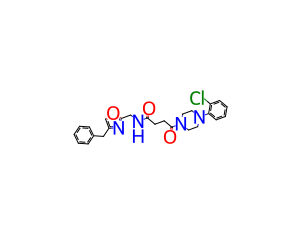 O=C(CCC(=O)N1CCN(c2ccccc2Cl)CC1)NCc1nc(Cc2ccccc2)co1